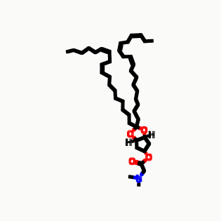 CC/C=C\C/C=C\C/C=C\CCCCCCCCC1(CCCCCCCC/C=C\C/C=C\CCCCC)O[C@H]2C[C@H](OC(=O)CN(C)C)C[C@H]2O1